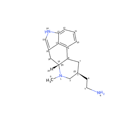 CN1C[C@H](CCN)CC2c3cccc4[nH]cc(c34)C[C@H]21